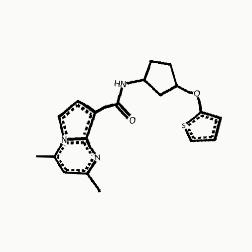 Cc1cc(C)n2ccc(C(=O)NC3CCC(Oc4cccs4)C3)c2n1